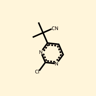 CC(C)(C#N)c1ccnc(Cl)n1